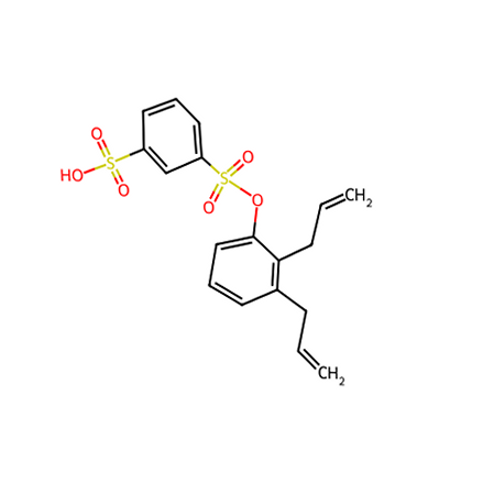 C=CCc1cccc(OS(=O)(=O)c2cccc(S(=O)(=O)O)c2)c1CC=C